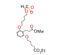 CCOC(=O)CCCCOc1cccc(OCCCCCOS(C)(=O)=O)c1CCC(=O)OC